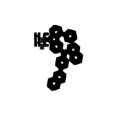 CC1(C)c2ccc(N(c3ccc(-c4ccc5ccccc5c4)cc3)c3cccc4ccccc34)cc2-c2c(-c3ccccc3)cccc21